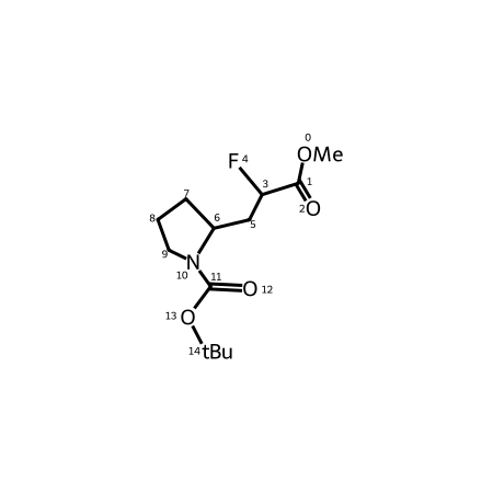 COC(=O)C(F)CC1CCCN1C(=O)OC(C)(C)C